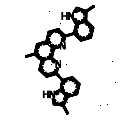 Cc1c[nH]c2c(-c3ccc4cc(C)c5ccc(-c6cccc7c(C)c[nH]c67)nc5c4n3)cccc12